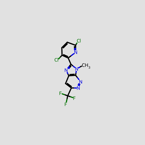 Cn1c(-c2nc(Cl)ccc2Cl)nc2cc(C(F)(F)F)nnc21